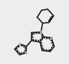 C1=CC(n2cc(-c3nccs3)c3cccnc32)CCC1